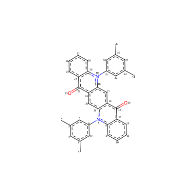 Cc1cc(C)cc(-n2c3ccccc3c(=O)c3cc4c(cc32)c(=O)c2ccccc2n4-c2cc(C)cc(C)c2)c1